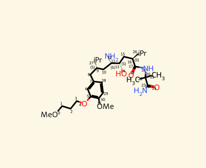 COCCCOc1cc(C[C@@H](C[C@H](N)[C@@H](O)C[C@H](C(=O)NC(C)(C)C(N)=O)C(C)C)C(C)C)ccc1OC